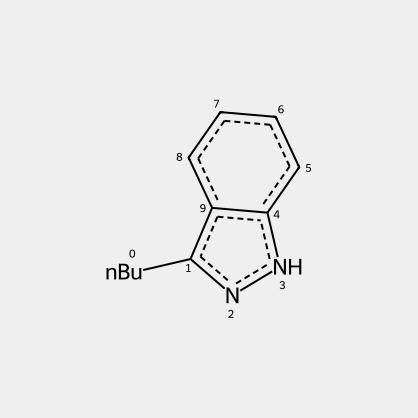 CCCCc1n[nH]c2ccccc12